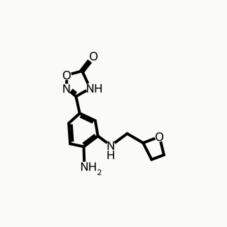 Nc1ccc(-c2noc(=O)[nH]2)cc1NCC1CCO1